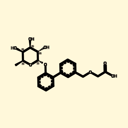 C[C@@H]1O[C@@H](Oc2ccccc2-c2cccc(COCC(=O)O)c2)[C@@H](O)[C@H](O)[C@@H]1O